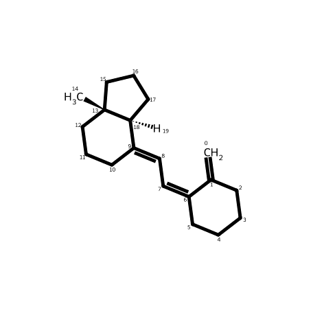 C=C1CCCC/C1=C/C=C1\CCC[C@]2(C)CCC[C@@H]12